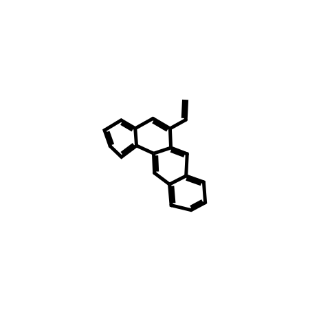 C=Cc1cc2ccccc2c2cc3ccccc3cc12